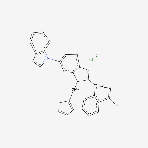 Cc1ccc(C2=Cc3ccc(-n4ccc5ccccc54)cc3[CH]2[Zr+2][C]2=CC=CC2)c2ccccc12.[Cl-].[Cl-]